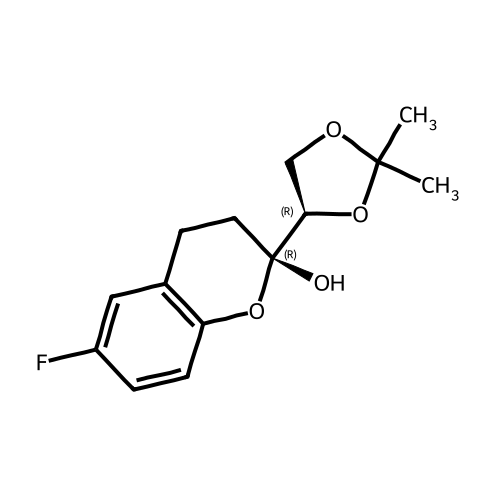 CC1(C)OC[C@H]([C@@]2(O)CCc3cc(F)ccc3O2)O1